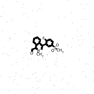 C[n+]1cc(-c2cc(S(C)(=O)=O)ccc2F)c2ccccc2c1C=O